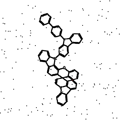 c1ccc(-c2ccc(-n3c4ccccc4c4ccc(-n5c6ccccc6c6ccc7c(c65)Oc5ccccc5C75c6ccccc6-n6c7ccccc7c7cccc5c76)cc43)cc2)cc1